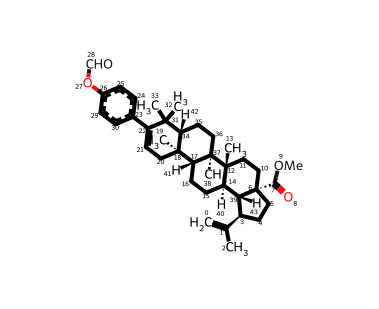 C=C(C)[C@@H]1CC[C@]2(C(=O)OC)CC[C@]3(C)[C@H](CC[C@@H]4[C@@]5(C)CC=C(c6ccc(OC=O)cc6)C(C)(C)[C@@H]5CC[C@]43C)[C@@H]12